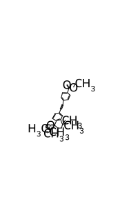 CCOC(=O)c1ccc(C#Cc2ccc3c(c2)C(C)(C)CCC3O[Si](C)(C)C)cc1